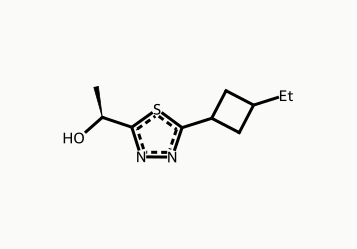 CCC1CC(c2nnc([C@H](C)O)s2)C1